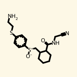 N#CCNC(=O)C1CCCCC1C[S+]([O-])c1ccc(SCCN)cc1